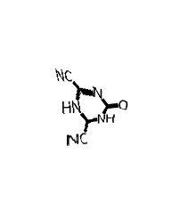 N#CC1=NC(=O)NC(C#N)N1